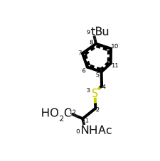 CC(=O)NC(CSCc1ccc(C(C)(C)C)cc1)C(=O)O